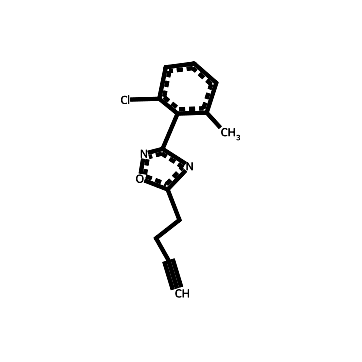 C#CCCc1nc(-c2c(C)cccc2Cl)no1